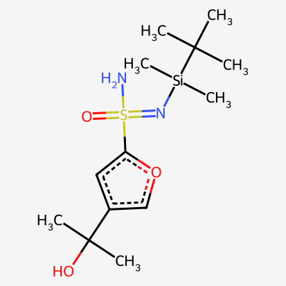 CC(C)(O)c1coc(S(N)(=O)=N[Si](C)(C)C(C)(C)C)c1